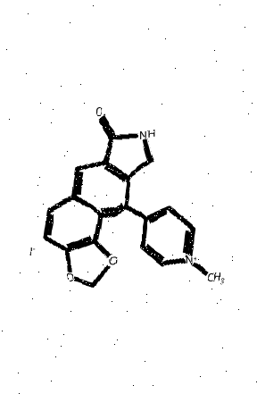 C[n+]1ccc(-c2c3c(cc4ccc5c(c24)OCO5)C(=O)NC3)cc1.[I-]